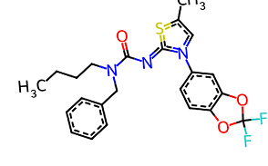 CCCCN(Cc1ccccc1)C(=O)N=c1sc(C)cn1-c1ccc2c(c1)OC(F)(F)O2